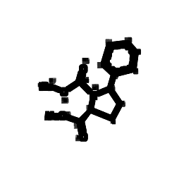 COC(=O)[C@@H]1CCC(c2ccccc2)N1C(=O)OC(C)(C)C